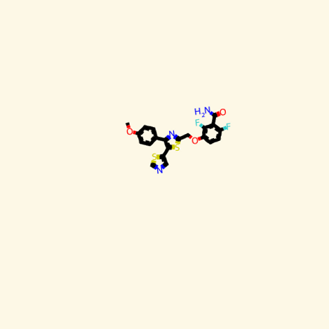 COc1ccc(-c2nc(COc3ccc(F)c(C(N)=O)c3F)sc2-c2cncs2)cc1